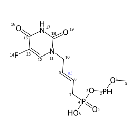 COPOP(=O)(O)C/C=C/Cn1cc(F)c(=O)[nH]c1=O